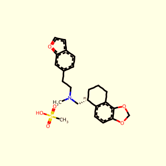 CN(CCc1ccc2ccoc2c1)C[C@@H]1CCCc2c1ccc1c2OCO1.CS(=O)(=O)O